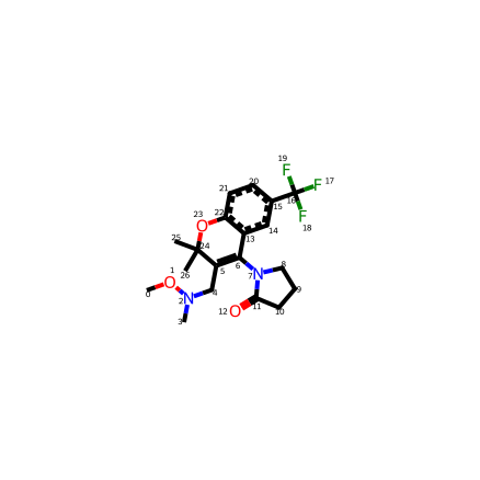 CON(C)CC1=C(N2CCCC2=O)c2cc(C(F)(F)F)ccc2OC1(C)C